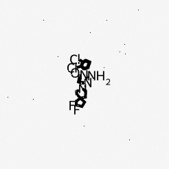 Nc1nc(N2CCC3(CC2)CCC(F)(F)C3)cc(=O)n1-c1cccc(Cl)c1Cl